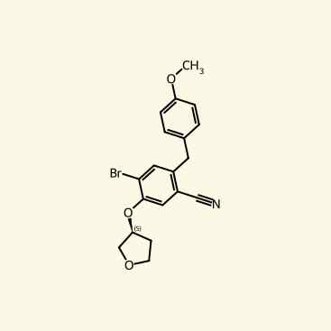 COc1ccc(Cc2cc(Br)c(O[C@H]3CCOC3)cc2C#N)cc1